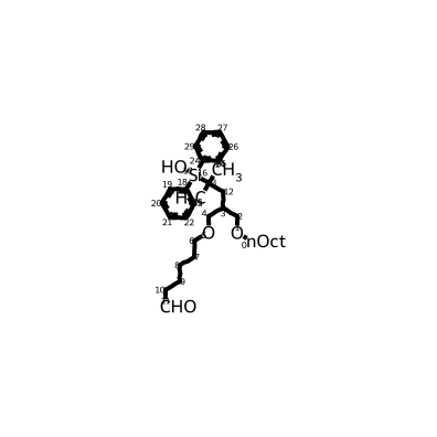 CCCCCCCCOCC(COCCCCCC=O)CC(C)(C)[Si](O)(c1ccccc1)c1ccccc1